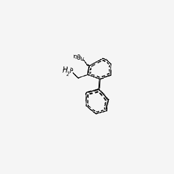 CCCCc1cccc(-c2ccccc2)c1CP